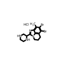 Cc1c(Br)c(Br)c2c3c1nc(C1CNCCN1)n3CCC2.Cl